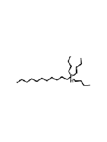 CCCCCCCCCCC[PH](CCCC)(CCCC)CCCC